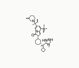 C=CC(C)(C1=CN2C(=O)C(C3CCCC([C@@H](C4CCC4)C4NNCN4C)C3)C=C2C([C@@](C)(F)I)=C1)N1CCCC(=C)C1